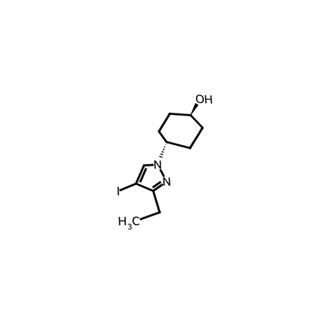 CCc1nn([C@H]2CC[C@H](O)CC2)cc1I